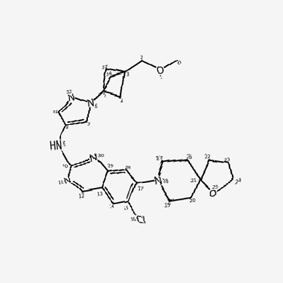 COCC12CC(n3cc(Nc4ncc5cc(Cl)c(N6CCC7(CCCO7)CC6)cc5n4)cn3)(C1)C2